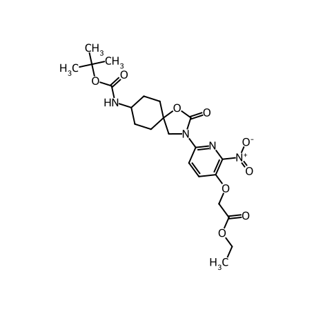 CCOC(=O)COc1ccc(N2CC3(CCC(NC(=O)OC(C)(C)C)CC3)OC2=O)nc1[N+](=O)[O-]